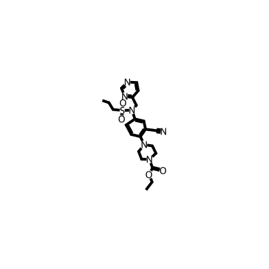 CCCS(=O)(=O)N(Cc1ccncn1)c1ccc(N2CCN(C(=O)OCC)CC2)c(C#N)c1